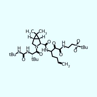 C=CCCC(NC(=O)[C@@H]1[C@@H]2[C@H](CN1C(=O)[C@@H](NC(=O)NC(C)(C)C)C(C)(C)C)C2(C)C)C(=O)C(=O)NCCS(=O)(=O)C(C)(C)C